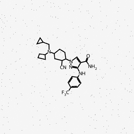 N#CC1CC(N(CC2CC2)C2CCC2)CCC1n1cc(C(N)=O)c(Nc2ccc(C(F)(F)F)cc2)n1